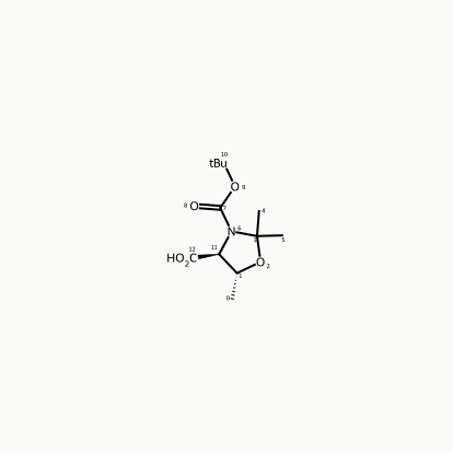 C[C@H]1OC(C)(C)N(C(=O)OC(C)(C)C)[C@@H]1C(=O)O